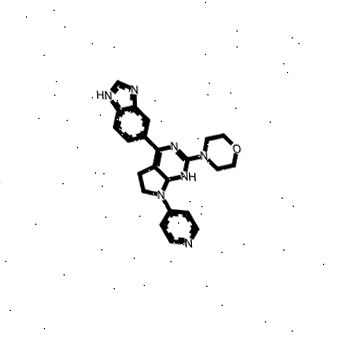 c1cc(N2CCC3=C(c4ccc5[nH]cnc5c4)N=C(N4CCOCC4)NC32)ccn1